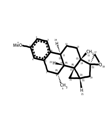 COc1ccc2c(c1)C[C@@H](C)[C@@H]1[C@@H]2CC[C@]2(C)[C@]3(CO3)C[C@@H]3C[C@@]312